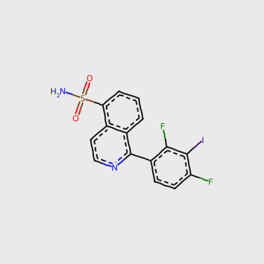 NS(=O)(=O)c1cccc2c(-c3ccc(F)c(I)c3F)nccc12